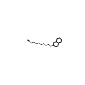 [SiH]#CCCCCCCCCCc1ccc2ccccc2c1